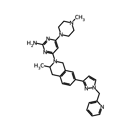 CC1Cc2ccc(-c3ccn(Cc4ccccn4)n3)cc2CN1c1cc(N2CCN(C)CC2)nc(N)n1